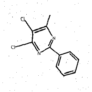 Cc1nc(-c2ccccc2)nc(Cl)c1Cl